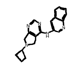 c1ccc2ncc(Nc3ncnc4c3CN(C3CCC3)C4)cc2c1